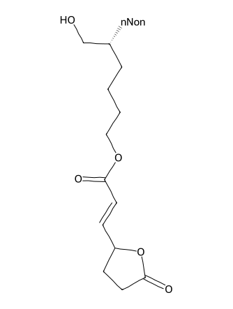 CCCCCCCCC[C@@H](CO)CCCCOC(=O)C=CC1CCC(=O)O1